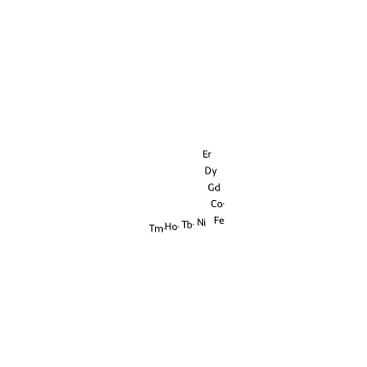 [Co].[Dy].[Er].[Fe].[Gd].[Ho].[Ni].[Tb].[Tm]